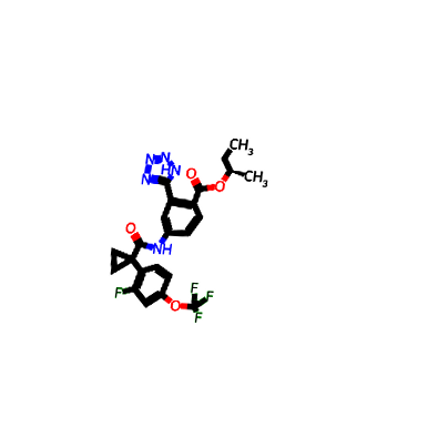 CC[C@@H](C)OC(=O)c1ccc(NC(=O)C2(c3ccc(OC(F)(F)F)cc3F)CC2)cc1-c1nnn[nH]1